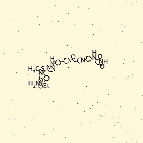 CCC(c1cccc(-c2nc(C)sc2-c2ccnc(Nc3ccc(C4CCN(C(=O)CC5CCN(c6ccc(NC7CCC(=O)NC7=O)cc6)CC5)CC4)cc3)n2)c1F)S(N)(=O)=O